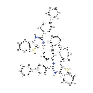 c1ccc(-c2ccc(-c3nc(-c4cccc(-c5ccccc5-c5ccccc5-c5nc(-c6ccc(-c7ccccc7)cc6)nc6c5sc5ccccc56)c4)c4sc5ccccc5c4n3)cc2)cc1